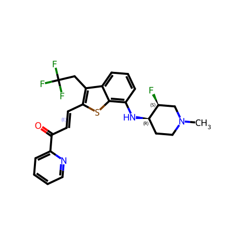 CN1CC[C@@H](Nc2cccc3c(CC(F)(F)F)c(/C=C/C(=O)c4ccccn4)sc23)[C@@H](F)C1